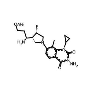 COCC[C@H](N)[C@H]1CN(c2ccc3c(=O)n(N)c(=O)n(C4CC4)c3c2C)C[C@H]1F